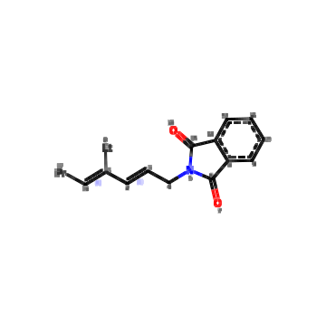 CCC(/C=C/CN1C(=O)c2ccccc2C1=O)=C\C(C)C